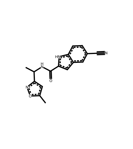 Cc1cc(C(C)NC(=O)c2cc3cc(C#N)ccc3[nH]2)no1